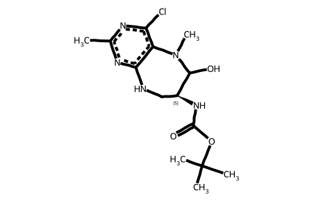 Cc1nc(Cl)c2c(n1)NC[C@H](NC(=O)OC(C)(C)C)C(O)N2C